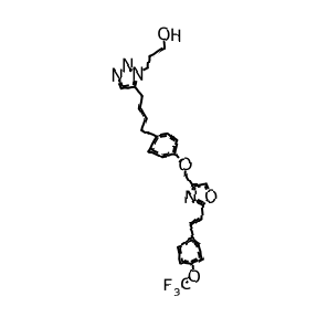 OCCCn1nncc1CCCCc1ccc(OCc2coc(C=Cc3ccc(OC(F)(F)F)cc3)n2)cc1